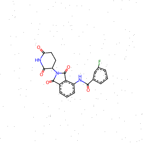 O=C1CCC(N2C(=O)c3cccc(NC(=O)c4cccc(F)c4)c3C2=O)C(=O)N1